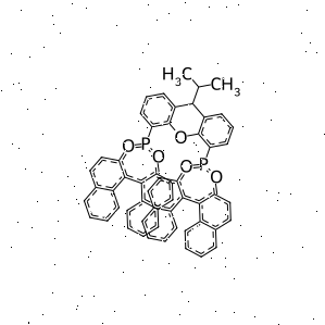 CC(C)C1c2cccc(-p3oc4ccc5ccccc5c4c4c(ccc5ccccc54)o3)c2Oc2c1cccc2-p1oc2ccc3ccccc3c2c2c(ccc3ccccc32)o1